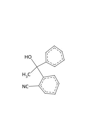 CC(O)(c1ccccc1)c1ccccc1C#N